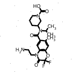 Cc1cc2c(cc1C(=O)N(C(C)C)C1CCCN(C(=O)O)C1)N(CCN)C(=O)C(F)(F)O2